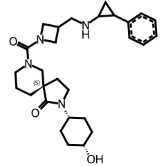 O=C(N1CC(CNC2CC2c2ccccc2)C1)N1CCC[C@]2(CCN([C@H]3CC[C@@H](O)CC3)C2=O)C1